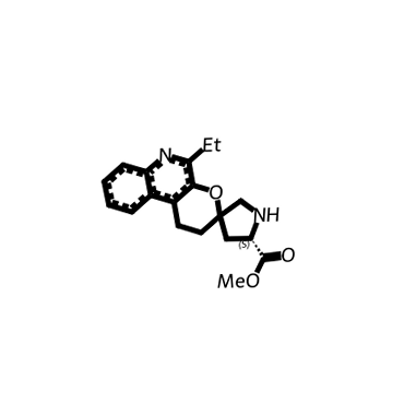 CCc1nc2ccccc2c2c1OC1(CC2)CN[C@H](C(=O)OC)C1